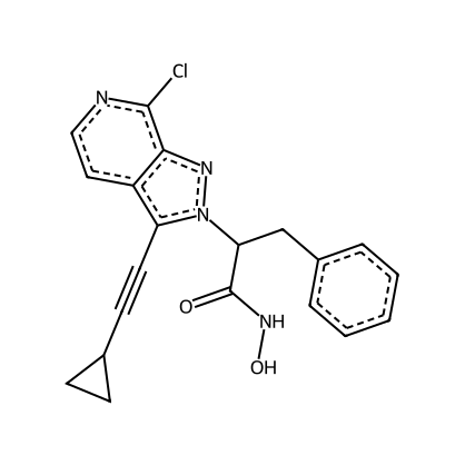 O=C(NO)C(Cc1ccccc1)n1nc2c(Cl)nccc2c1C#CC1CC1